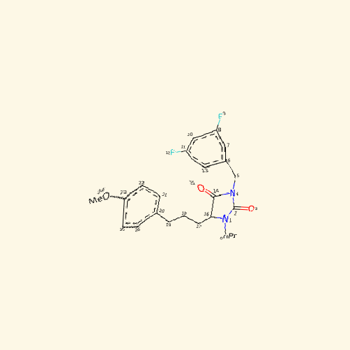 CCCN1C(=O)N(Cc2cc(F)cc(F)c2)C(=O)C1CCCc1ccc(OC)cc1